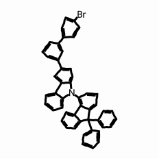 Brc1ccc(-c2cccc(-c3ccc4c(c3)c3ccccc3n4-c3cccc4c3-c3ccccc3C4(c3ccccc3)c3ccccc3)c2)cc1